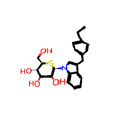 CCc1ccc(Cc2cn([C@@H]3S[C@H](CO)[C@@H](O)[C@H](O)[C@H]3O)c3ccccc23)cc1